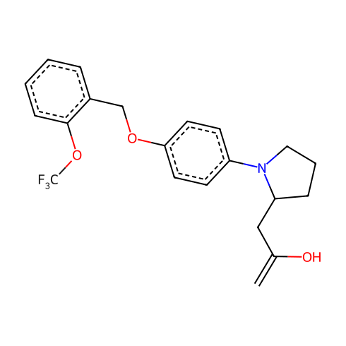 C=C(O)CC1CCCN1c1ccc(OCc2ccccc2OC(F)(F)F)cc1